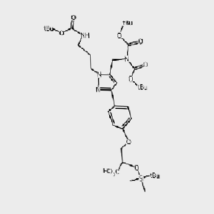 CC(C)(C)OC(=O)NCCCn1nc(-c2ccc(OCC(O[Si](C)(C)C(C)(C)C)C(=O)O)cc2)cc1CN(C(=O)OC(C)(C)C)C(=O)OC(C)(C)C